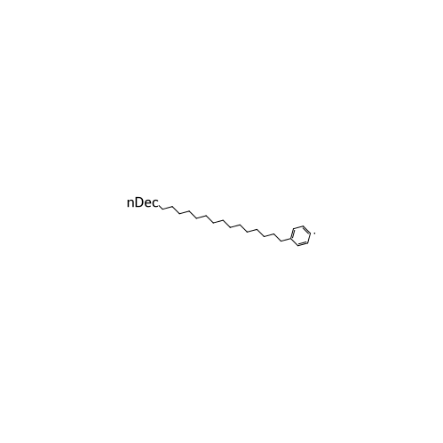 CCCCCCCCCCCCCCCCCCCCCCCCCc1cc[c]cc1